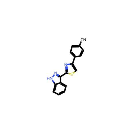 N#Cc1ccc(-c2csc(-c3n[nH]c4ccccc34)n2)cc1